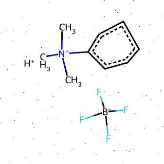 C[N+](C)(C)c1ccccc1.F[B-](F)(F)F.[H+]